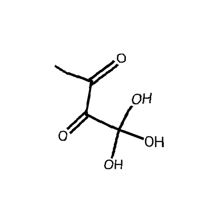 CC(=O)C(=O)C(O)(O)O